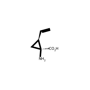 C=C[C@@H]1C[C@@]1(N)C(=O)O